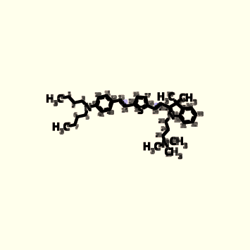 CCCCN(CCCC)c1ccc(/C=C/c2ccc(/C=C/C3=[N+](CCC[N+](C)(C)C)c4ccccc4C3(C)C)s2)cc1